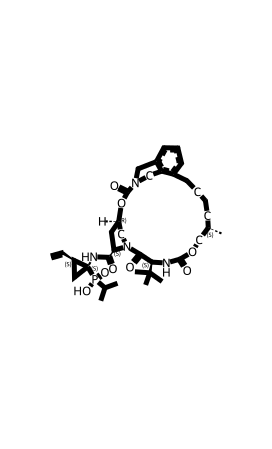 C=C[C@@H]1C[C@]1(NC(=O)[C@@H]1C[C@@H]2CN1C(=O)[C@H](C(C)(C)C)NC(=O)OC[C@@H](C)CCCCc1cccc3c1CN(C3)C(=O)O2)P(=O)(O)C(C)C